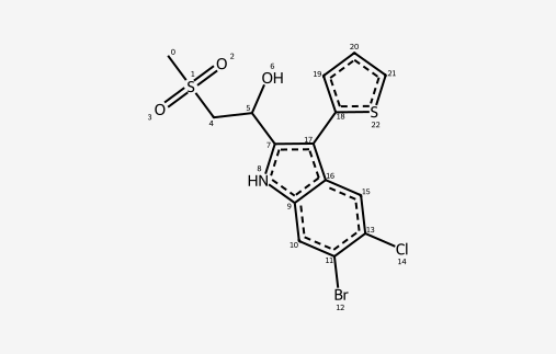 CS(=O)(=O)CC(O)c1[nH]c2cc(Br)c(Cl)cc2c1-c1cccs1